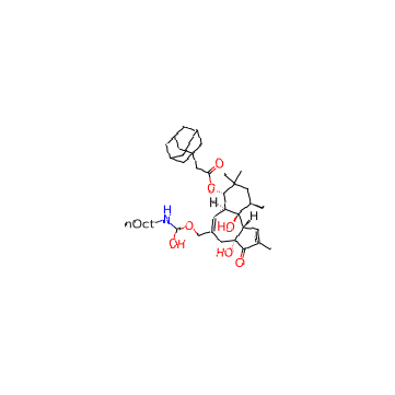 CCCCCCCCNC(O)OCC1=C[C@H]2[C@H](OC(=O)CC34CC5CC(CC(C5)C3)C4)C(C)(C)C[C@@H](C)[C@]2(O)[C@@H]2C=C(C)C(=O)[C@@]2(O)C1